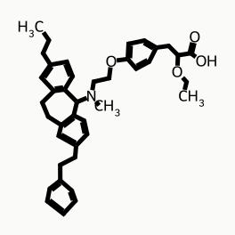 CCCc1ccc2c(c1)CCc1cc(CCc3ccccc3)ccc1C2N(C)CCOc1ccc(CC(OCC)C(=O)O)cc1